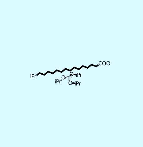 CC(C)CCCCCCCCCCCCCCC(=O)[O-].CC(C)[O][Ti+]([O]C(C)C)[O]C(C)C